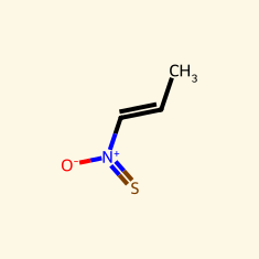 CC=C[N+]([O-])=S